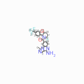 Cc1ncc2c(N)nc3cc(F)c(C(=O)N4CCCC5Oc6cc(C(F)(F)F)ccc6C54)cc3n12